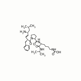 CC(C)C[C@H](N)/C=C/[C@H](Cc1ccccc1)C(=O)N1CCCC1C(=O)NC(CCCCNC(=O)O)C(=O)NC(C)C